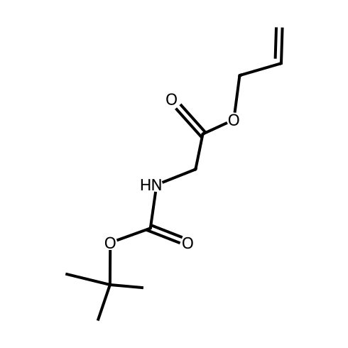 C=CCOC(=O)CNC(=O)OC(C)(C)C